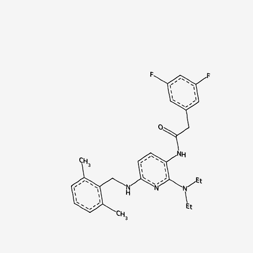 CCN(CC)c1nc(NCc2c(C)cccc2C)ccc1NC(=O)Cc1cc(F)cc(F)c1